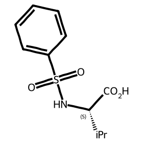 CC(C)[C@H](NS(=O)(=O)c1ccccc1)C(=O)O